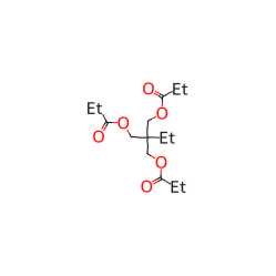 CCC(=O)OCC(CC)(COC(=O)CC)COC(=O)CC